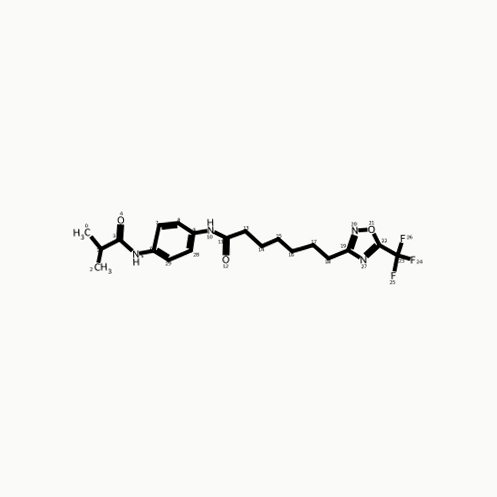 CC(C)C(=O)Nc1ccc(NC(=O)CCCCCCc2noc(C(F)(F)F)n2)cc1